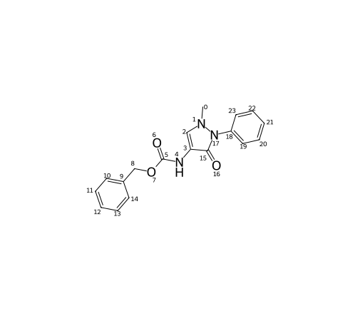 Cn1cc(NC(=O)OCc2ccccc2)c(=O)n1-c1ccccc1